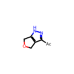 CC(=O)c1n[nH]c2c1COC2